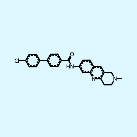 CN1CCc2nc3cc(NC(=O)c4ccc(-c5ccc(Cl)cc5)cc4)ccc3cc2C1